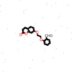 O=Cc1ccccc1OCCOc1ccc2ccc(=O)oc2c1